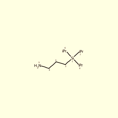 CC(C)[Si](CCCN)(C(C)C)C(C)C